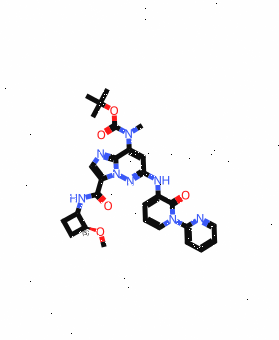 CO[C@H]1CCC1NC(=O)c1cnc2c(N(C)C(=O)OC(C)(C)C)cc(Nc3cccn(-c4ccccn4)c3=O)nn12